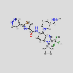 CNC[C@@H]1CCCN(c2c(NC(=O)c3csc(-c4ccnnc4)n3)ccc3c2nc(C(F)(F)F)n3C2CCCC2)C1